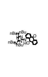 CCCCN(CCCC)c1nc(Nc2cccc3c2C(=O)c2ccccc2C3=O)nc(N(CCCC)CCCC)n1